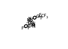 C[C@@H](n1nnn(-c2ccc(OCC(F)(F)C(F)(F)F)cc2)c1=O)[C@](O)(Cn1cncn1)c1ccc(F)cc1F